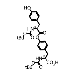 CC(C)(C)OC(=O)N[C@@H](Cc1ccc(O)cc1)C(=O)Oc1ccc(C[C@@H](NC(=O)OC(C)(C)C)C(=O)O)cc1